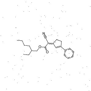 CCCCC(CC)COC(=O)C(C#N)=C1C=C(c2ccccc2)CC1